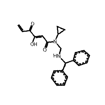 C=CC(=O)/C(O)=C/C(=O)N(CNC(c1ccccc1)c1ccccc1)C1CC1